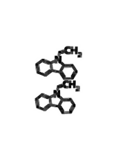 C=Cn1c2ccccc2c2ccccc21.C=Cn1c2ccccc2c2ccccc21